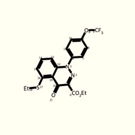 CCOC(=O)c1nn(-c2ccc(OC(F)(F)F)cc2)c2cccc(SCC)c2c1=O